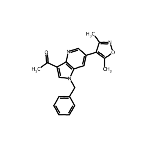 CC(=O)c1cn(Cc2ccccc2)c2cc(-c3c(C)noc3C)cnc12